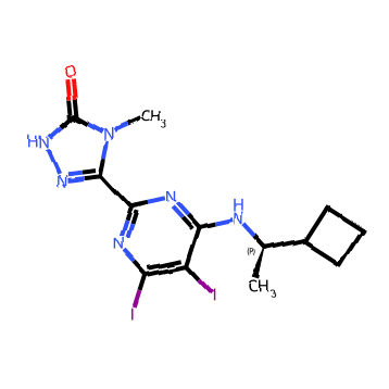 C[C@@H](Nc1nc(-c2n[nH]c(=O)n2C)nc(I)c1I)C1CCC1